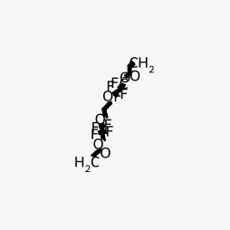 C=CC(=O)OCC(F)(F)C(F)(F)OCCCOC(F)(F)C(F)(F)COC(=O)C=C